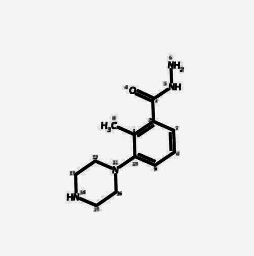 Cc1c(C(=O)NN)cccc1N1CCNCC1